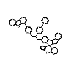 c1ccc(-c2ccc(C(Cc3ccc(-c4cccc5c4oc4ccccc45)cc3)Cc3ccc4c(c3)C3(c5ccccc5Oc5ccccc53)c3ccc5ccccc5c3-4)cc2)cc1